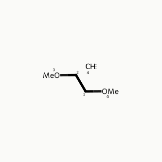 COCCOC.[CH]